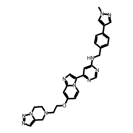 Cn1cc(-c2ccc(CNc3cc(-c4cnc5cc(OCCN6CCn7nncc7C6)ccn45)ncn3)cc2)cn1